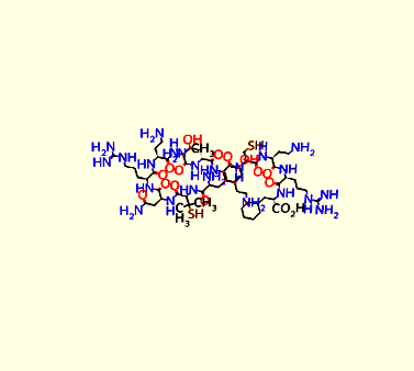 C[C@@H](O)[C@H](NC(=O)[C@H](CCN)NC(=O)[C@H](CCCNC(=N)N)NC(=O)[C@H](CC(N)=O)NC(=O)[C@@H](NC(=O)[C@@H](N)Cc1ccc(O)cc1)C(C)(C)S)C(=O)N[C@H](CCN)C(=O)N[C@@H](CCCCN)C(=O)N[C@@H](CS)C(=O)N[C@@H](CCN)C(=O)N[C@@H](CCCNC(=N)N)C(=O)N[C@@H](CC1CCCCC1)C(=O)O